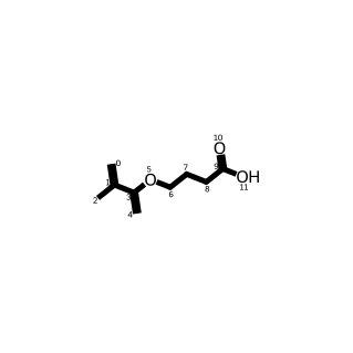 C=C(C)C(=C)OCCCC(=O)O